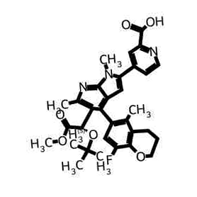 COC(=O)[C@@H](OC(C)(C)C)c1c(C)nc2c(cc(-c3ccnc(C(=O)O)c3)n2C)c1-c1cc(F)c2c(c1C)CCCO2